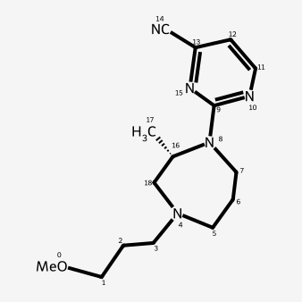 COCCCN1CCCN(c2nccc(C#N)n2)[C@@H](C)C1